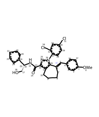 COc1ccc(/C=C2\CCCCc3c(C(=O)N[C@H](CO)c4ccccc4)nn(-c4ccc(Cl)cc4Cl)c32)cc1